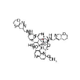 COc1ccc2ncc(F)c(C[C@@](O)(C(c3c(F)cnc4ccc(OC)nc34)C(O)[C@@H]3CC[C@@H](NCc4cc5c(nn4)OCCS5)CO3)[C@@H]3CC[C@@H](NCc4cc5c(cn4)OCCC5)CO3)c2n1